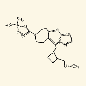 COCC1CCN1c1c2c(nc3ccnn13)CCN(C(=O)OC(C)(C)C)CC2